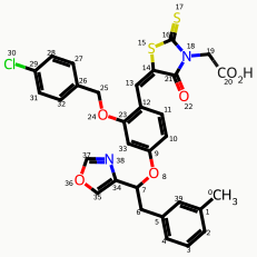 Cc1cccc(CC(Oc2ccc(C=C3SC(=S)N(CC(=O)O)C3=O)c(OCc3ccc(Cl)cc3)c2)c2cocn2)c1